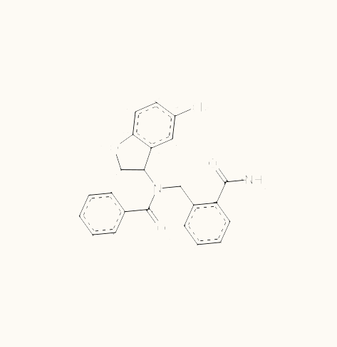 NC(=O)c1ccccc1CN(C(=O)c1ccccc1)C1COc2ccc(Cl)cc21